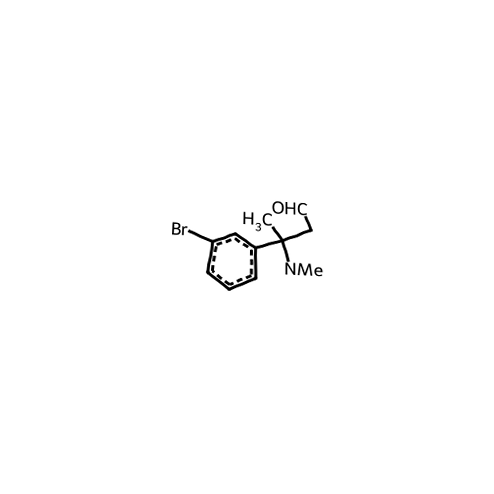 CNC(C)(CC=O)c1cccc(Br)c1